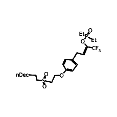 CCCCCCCCCCCCS(=O)(=O)CCOc1ccc(CC=C(OP(=O)(CC)CC)C(F)(F)F)cc1